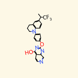 CC(c1ccc2c(c1)CCCN2c1ccc(Oc2nc(O)c3ccncc3n2)cc1)C(F)(F)F